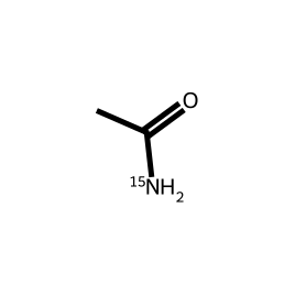 CC([15NH2])=O